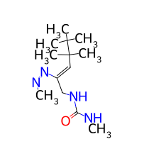 C/N=N\C(=C/C(C)(C)C(C)(C)C)CNC(=O)NC